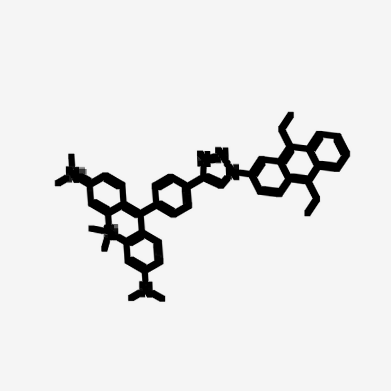 CCc1c2ccccc2c(CC)c2cc(-n3cc(-c4ccc(C5=C6C=CC(=[N+](C)C)C=C6[Si](C)(C)c6cc(N(C)C)ccc65)cc4)nn3)ccc12